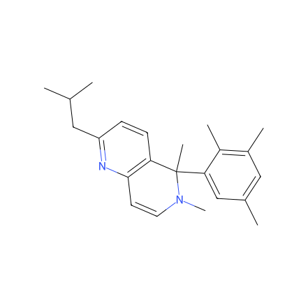 Cc1cc(C)c(C)c(C2(C)c3ccc(CC(C)C)nc3C=CN2C)c1